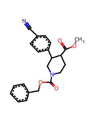 COC(=O)C1CCN(C(=O)OCc2ccccc2)CC1c1ccc(C#N)cc1